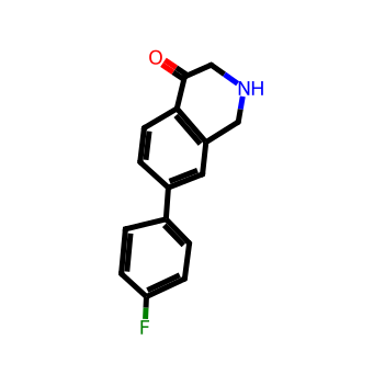 O=C1CNCc2cc(-c3ccc(F)cc3)ccc21